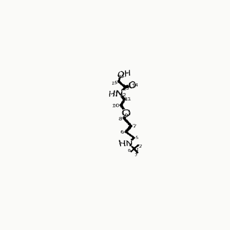 CC(C)(C)NCCCCOCCNC(=O)CO